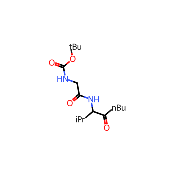 CCCCC(=O)C(NC(=O)CNC(=O)OC(C)(C)C)C(C)C